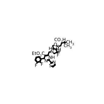 CCOC(=O)C1=C(CN2CC(F)(F)[C@H]3[C@@H]2CON3CCC(C)(C)C(=O)O)NC(c2nccs2)=NC1c1cccc(F)c1F